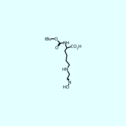 CC(C)(C)OC(=O)NC(CCCCNCC=NO)C(=O)O